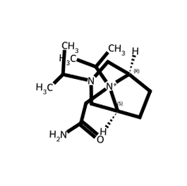 CC(C)N1C[C@H]2CC[C@@H](C1)[N+]2(CC(N)=O)C(C)C